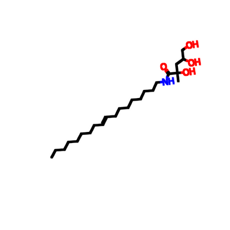 CCCCCCCCC=CCCCCCCCCNC(=O)C(C)(O)CC(O)CO